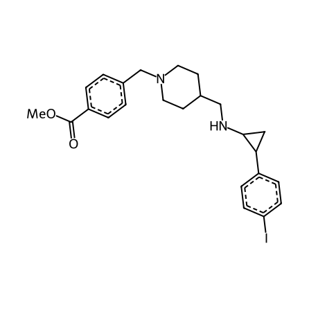 COC(=O)c1ccc(CN2CCC(CNC3CC3c3ccc(I)cc3)CC2)cc1